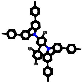 Cc1ccc(-c2ccc3c(c2)c2cc(-c4ccc(C)cc4)ccc2n3-c2cc(-c3ccc(C#N)cc3C(F)(F)F)c(-n3c4ccc(-c5ccc(C)cc5)cc4c4cc(-c5ccc(C)cc5)ccc43)cc2C#N)cc1